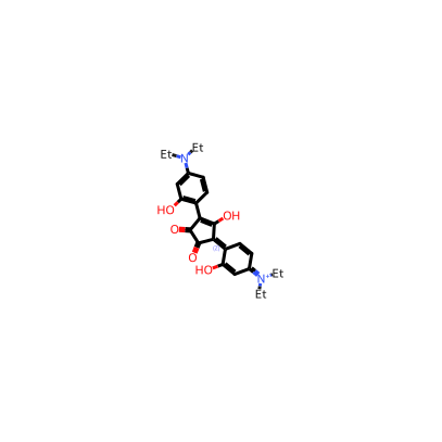 CCN(CC)c1ccc(C2=C(O)/C(=C3\C=CC(=[N+](CC)CC)C=C3O)C(=O)C2=O)c(O)c1